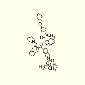 CN(C(=O)c1cc(-c2cc3c(cc2C(=O)N2Cc4ccccc4C[C@H]2CN2CCOCC2)CN(C(=O)OC(C)(C)C)C3)n2ccccc12)c1ccc(OCc2ccccc2)cc1